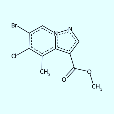 COC(=O)c1cnn2cc(Br)c(Cl)c(C)c12